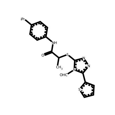 CC(Sc1nnc(-c2cccs2)n1C=O)C(=O)Nc1ccc(C(C)C)cc1